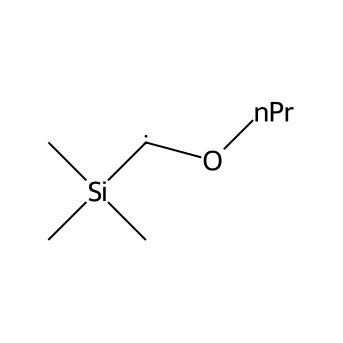 CCCO[CH][Si](C)(C)C